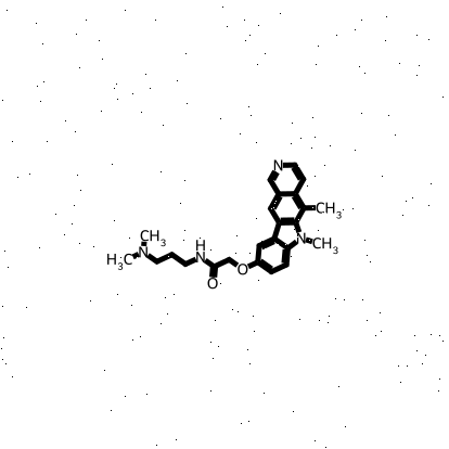 Cc1c2ccncc2cc2c3cc(OCC(=O)NCCCN(C)C)ccc3n(C)c12